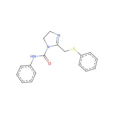 O=C(Nc1ccccc1)N1CCN=C1CSc1ccccc1